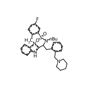 CCCCN(C(Cc1ccccc1CN1CCCCC1)c1nc2ccccc2[nH]1)S(=O)(=O)c1cc(F)ccc1C